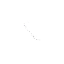 CCCCCCCC/C=C\CCCCCCCCC1=NC(C(O)CC)CO1